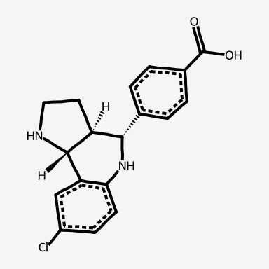 O=C(O)c1ccc([C@@H]2Nc3ccc(Cl)cc3[C@@H]3NCC[C@@H]23)cc1